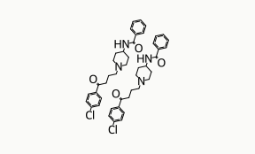 O=C(CCCN1CCC(NC(=O)c2ccccc2)CC1)c1ccc(Cl)cc1.O=C(CCCN1CCC(NC(=O)c2ccccc2)CC1)c1ccc(Cl)cc1